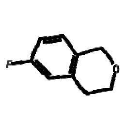 Fc1ccc2c(c1)CCOC2